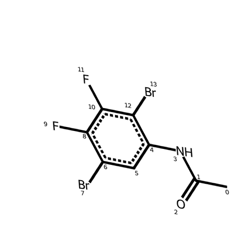 CC(=O)Nc1cc(Br)c(F)c(F)c1Br